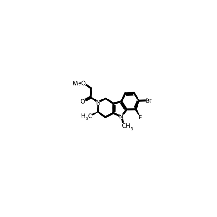 COCC(=O)N1Cc2c(n(C)c3c(F)c(Br)ccc23)C[C@H]1C